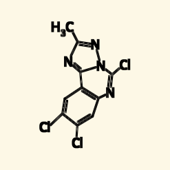 Cc1nc2c3cc(Cl)c(Cl)cc3nc(Cl)n2n1